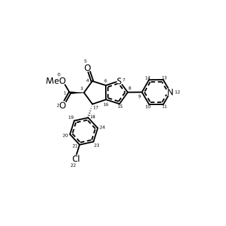 COC(=O)[C@H]1C(=O)c2sc(-c3ccncc3)cc2[C@@H]1c1ccc(Cl)cc1